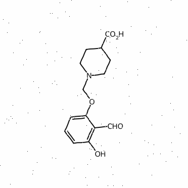 O=Cc1c(O)cccc1OCN1CCC(C(=O)O)CC1